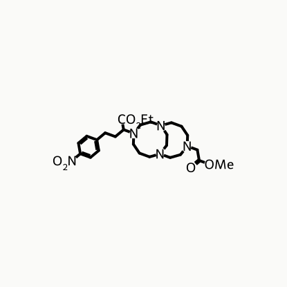 CCOC(=O)C(CCc1ccc([N+](=O)[O-])cc1)N1CCCN2CCN(CCCN(CC(=O)OC)CC2)CC1